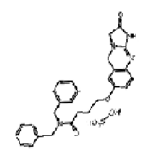 O=C1CN2Cc3cc(OCCCC(=O)N(Cc4ccccc4)Cc4ccccc4)ccc3N=C2N1.O=S(=O)(O)O